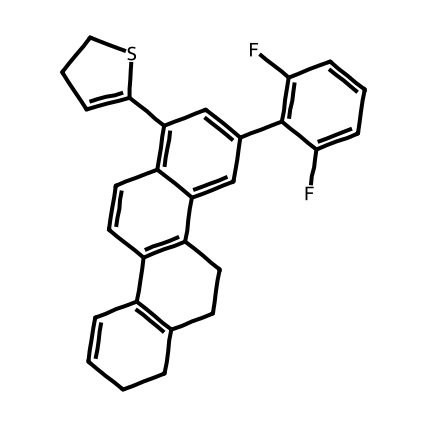 Fc1cccc(F)c1-c1cc(C2=CCCS2)c2ccc3c(c2c1)CCC1=C3C=CCC1